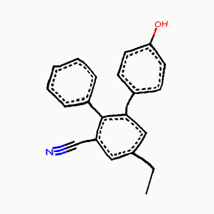 CCc1cc(C#N)c(-c2ccccc2)c(-c2ccc(O)cc2)c1